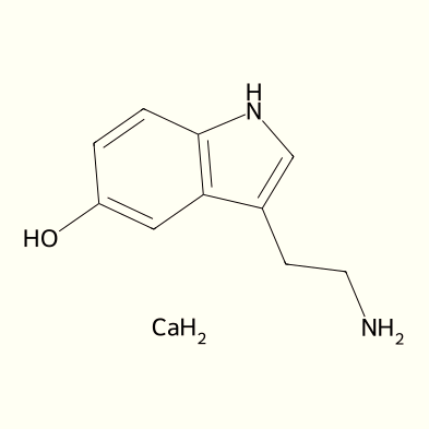 NCCc1c[nH]c2ccc(O)cc12.[CaH2]